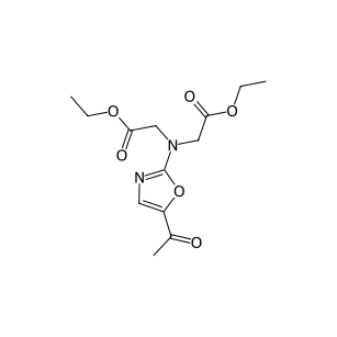 CCOC(=O)CN(CC(=O)OCC)c1ncc(C(C)=O)o1